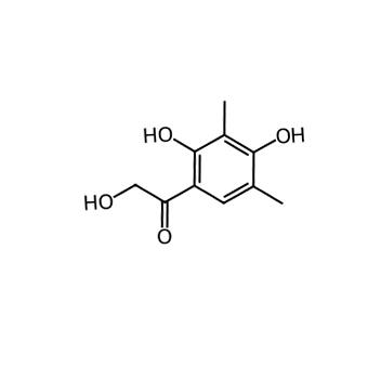 Cc1cc(C(=O)CO)c(O)c(C)c1O